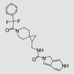 O=C(NCC1CC12CCN(C(=O)C(F)(F)c1ccccc1)CC2)N1C=C2C=CNC=C2C1